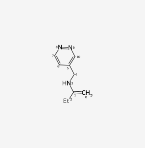 C=C(CC)NCc1ccnnc1